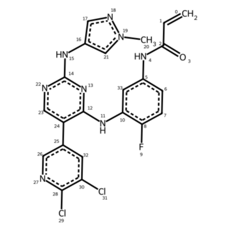 C=CC(=O)Nc1ccc(F)c(Nc2nc(Nc3cnn(C)c3)ncc2-c2cnc(Cl)c(Cl)c2)c1